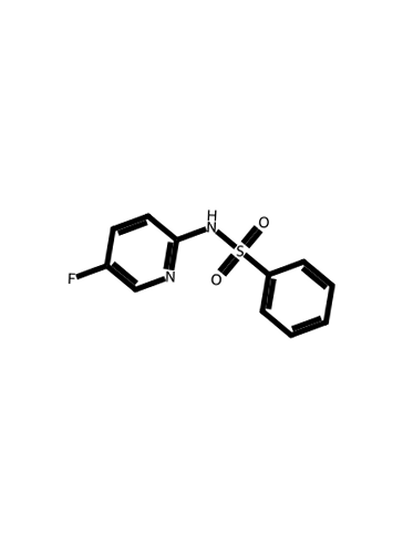 O=S(=O)(Nc1ccc(F)cn1)c1ccccc1